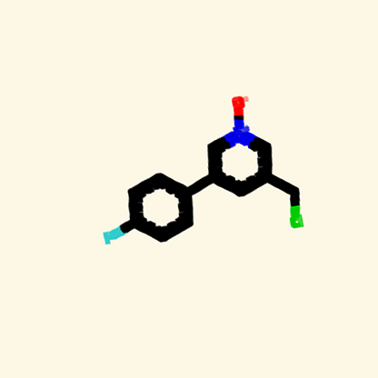 [O-][n+]1cc(CCl)cc(-c2ccc(F)cc2)c1